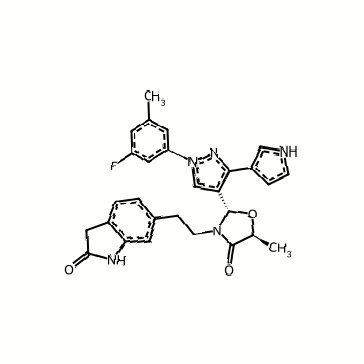 Cc1cc(F)cc(-n2cc([C@@H]3O[C@@H](C)C(=O)N3CCc3ccc4c(c3)NC(=O)C4)c(-c3cc[nH]c3)n2)c1